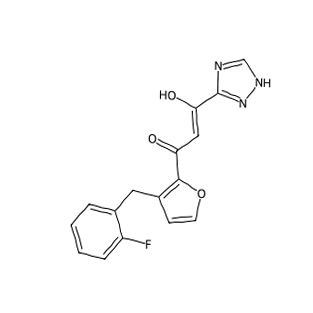 O=C(C=C(O)c1nc[nH]n1)c1occc1Cc1ccccc1F